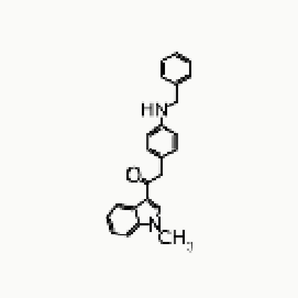 Cn1cc(C(=O)Cc2ccc(NCc3ccccc3)cc2)c2ccccc21